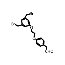 O=CCc1ccc(OCCOc2cc(CBr)cc(CBr)c2)cc1